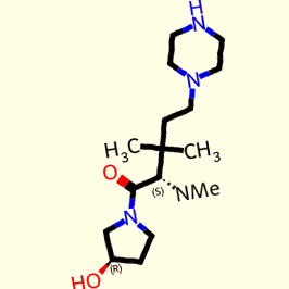 CN[C@H](C(=O)N1CC[C@@H](O)C1)C(C)(C)CCN1CCNCC1